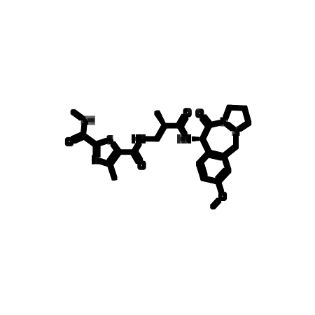 CNC(=O)c1nc(C)c(C(=O)NC[C@@H](C)C(=O)N[C@@H]2C(=O)N3CCCN3Cc3cc(OC)ccc32)s1